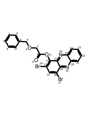 O=C(COCc1ccccc1)Oc1c(Br)cc(Br)c2nc3ccccc3nc12